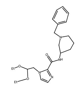 CCOC(Cn1ccnc1C(=O)NC1CCCN(Cc2ccccc2)C1)OCC